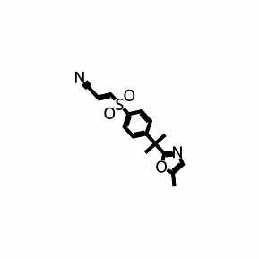 Cc1cnc(C(C)(C)c2ccc(S(=O)(=O)/C=C/C#N)cc2)o1